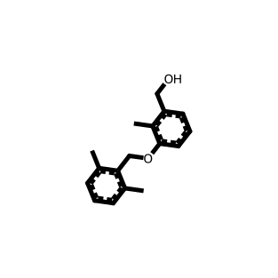 Cc1cccc(C)c1COc1cccc(CO)c1C